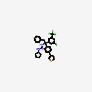 O=C(NC1CCCC1)NC(Cc1ccccc1)(c1ccc(C2=CSCC2)cc1)c1cc(F)cc(C(F)(F)F)c1